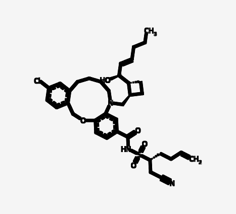 C=CCC[C@H](CC#N)S(=O)(=O)NC(=O)c1ccc2c(c1)N(C[C@@H]1CC[C@H]1[C@@H](O)/C=C/CCC)CCCCc1cc(Cl)ccc1CO2